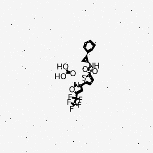 O=C(O)O.O=S(=O)(N[C@H]1C[C@@H]1c1ccccc1)c1ccc(-c2cc(C(F)(F)C(F)(F)F)on2)s1